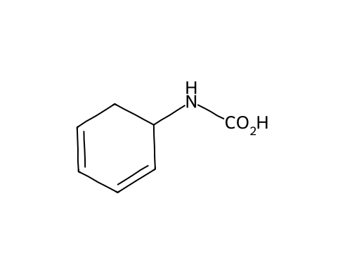 O=C(O)NC1C=CC=CC1